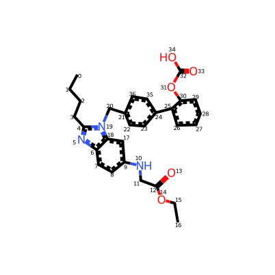 CCCCc1nc2ccc(NCC(=O)OCC)cc2n1Cc1ccc(-c2ccccc2OC(=O)O)cc1